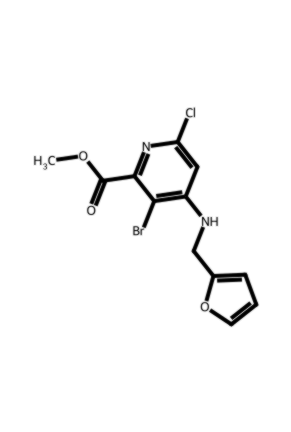 COC(=O)c1nc(Cl)cc(NCc2ccco2)c1Br